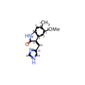 COc1cc2c(cc1C)NC(=O)/C2=C\c1c[nH]cn1